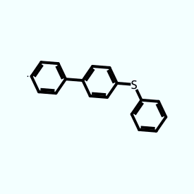 [c]1ccc(-c2ccc(Sc3ccccc3)cc2)cc1